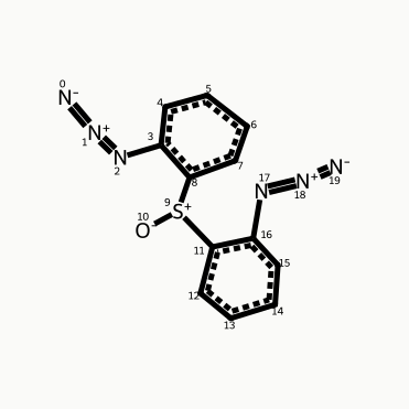 [N-]=[N+]=Nc1ccccc1[S+]([O-])c1ccccc1N=[N+]=[N-]